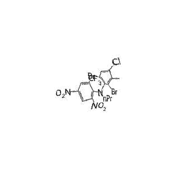 CCCN(c1c([N+](=O)[O-])cc([N+](=O)[O-])cc1C(F)(F)F)c1c(Br)cc(Cl)c(C)c1Br